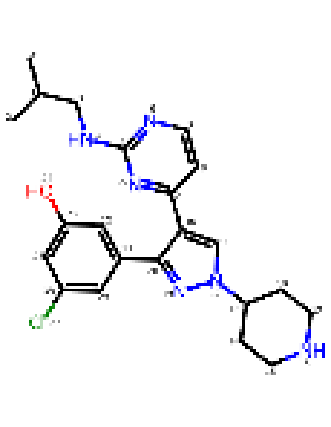 CC(C)CNc1nccc(-c2cn(C3CCNCC3)nc2-c2cc(O)cc(Cl)c2)n1